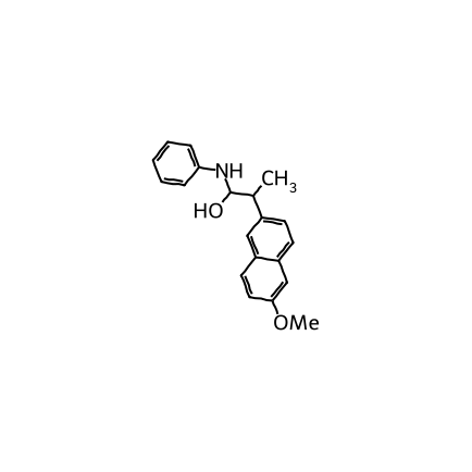 COc1ccc2cc(C(C)C(O)Nc3ccccc3)ccc2c1